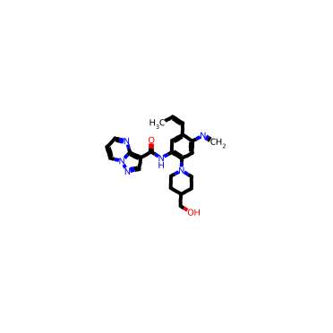 C=Nc1cc(N2CCC(CO)CC2)c(NC(=O)c2cnn3cccnc23)cc1/C=C\C